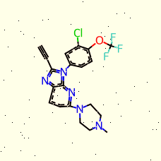 C#Cc1nc2ccc(N3CCN(C)CC3)nc2n1-c1ccc(OC(F)(F)F)c(Cl)c1